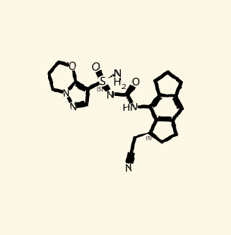 N#CC[C@@H]1CCc2cc3c(c(NC(=O)N=[S@](N)(=O)c4cnn5c4OCCC5)c21)CCC3